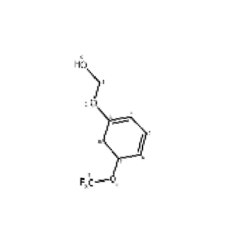 OCOC1=CC=CC(OC(F)(F)F)C1